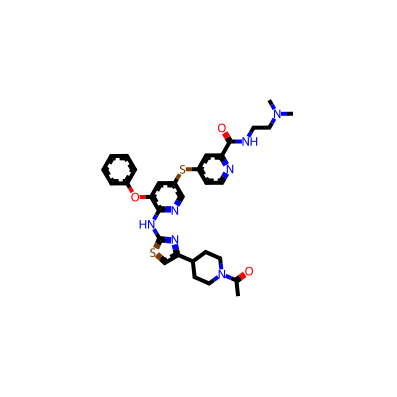 CC(=O)N1CCC(c2csc(Nc3ncc(Sc4ccnc(C(=O)NCCN(C)C)c4)cc3Oc3ccccc3)n2)CC1